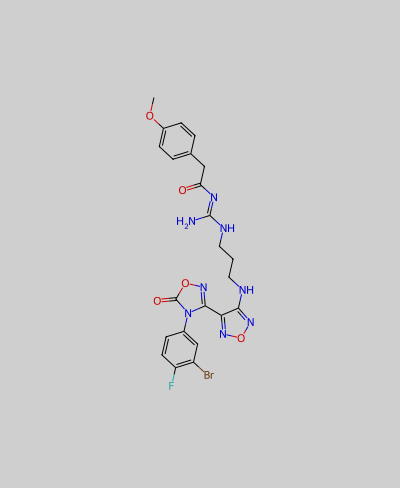 COc1ccc(CC(=O)/N=C(\N)NCCCNc2nonc2-c2noc(=O)n2-c2ccc(F)c(Br)c2)cc1